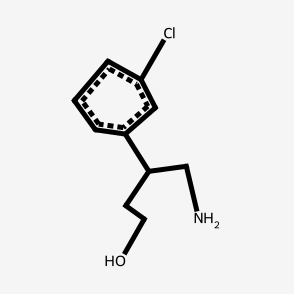 NCC(CCO)c1cccc(Cl)c1